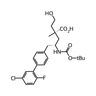 CC(C)(C)OC(=O)N[C@H](Cc1ccc(-c2cc(Cl)ccc2F)cc1)C[C@@](C)(CCO)C(=O)O